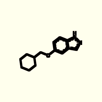 c1cc2[nH]ncc2cc1OCC1CCCCC1